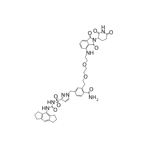 NC(=O)c1ccc(Cn2ccc(S(=O)(=O)NC(=O)Nc3c4c(cc5c3CCC5)CCC4)n2)cc1CCOCCOCCNc1cccc2c1C(=O)N(C1CCC(=O)NC1=O)C2=O